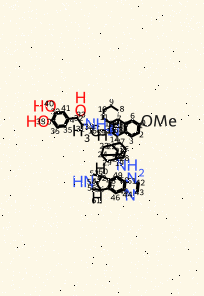 COc1ccc2c(c1)[C@]13CCCC[C@@H]1[C@H](C2)N(C)CC3.NC12CC3CC(CC(C3)C1)C2.NC[C@H](O)c1ccc(O)c(O)c1.c1cnc2cc3c(cc2n1)[C@@H]1CNC[C@H]3C1